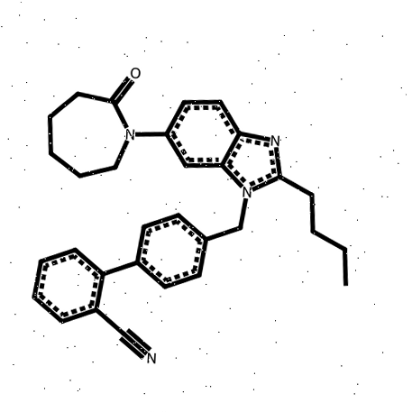 CCCCc1nc2ccc(N3CCCCCC3=O)cc2n1Cc1ccc(-c2ccccc2C#N)cc1